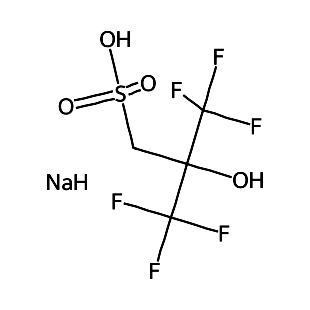 O=S(=O)(O)CC(O)(C(F)(F)F)C(F)(F)F.[NaH]